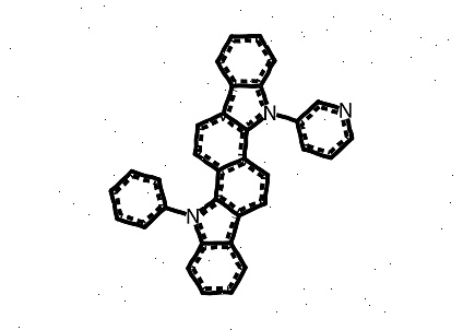 c1ccc(-n2c3ccccc3c3ccc4c(ccc5c6ccccc6n(-c6cccnc6)c54)c32)cc1